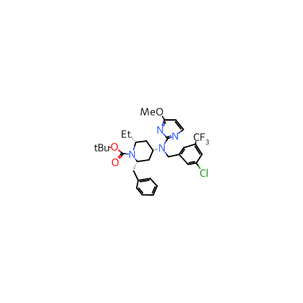 CC[C@@H]1C[C@H](N(Cc2cc(Cl)cc(C(F)(F)F)c2)c2nccc(OC)n2)C[C@H](Cc2ccccc2)N1C(=O)OC(C)(C)C